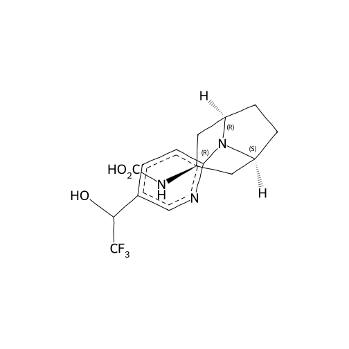 O=C(O)N[C@H]1C[C@H]2CC[C@@H](C1)N2c1ccc(C(O)C(F)(F)F)cn1